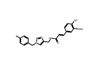 COc1cc(/C=C/C(=O)NCc2cn(Cc3ccc(C)cc3)nn2)ccc1O